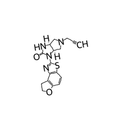 C#CCN1C[C@@H]2NC(=O)N(c3nc4c5c(ccc4s3)OCC5)[C@@H]2C1